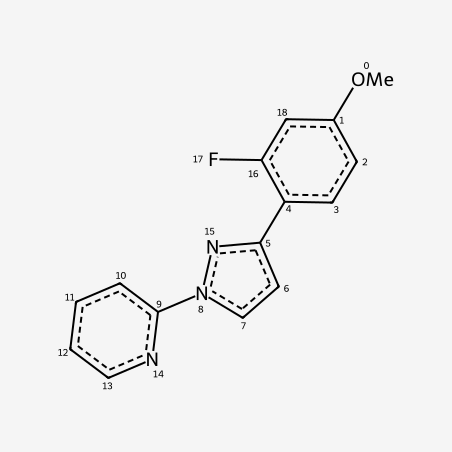 COc1ccc(-c2ccn(-c3ccccn3)n2)c(F)c1